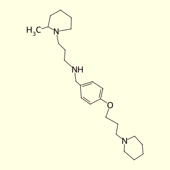 CC1CCCCN1CCCNCc1ccc(OCCCN2CCCCC2)cc1